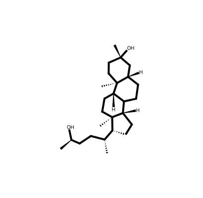 C[C@H](CC[C@@H](C)O)[C@H]1CC[C@H]2C3CC[C@H]4C[C@@](C)(O)CC[C@]4(C)[C@H]3CC[C@]12C